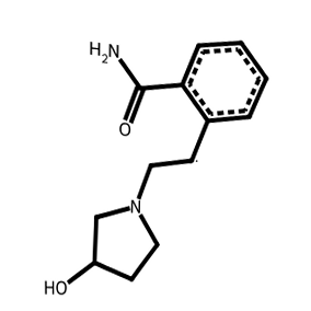 NC(=O)c1ccccc1[CH]CN1CCC(O)C1